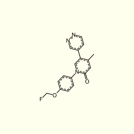 Cc1cc(=O)n(-c2ccc(OCF)cc2)cc1-c1ccnnc1